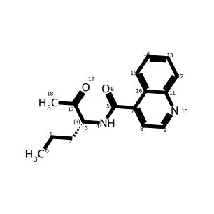 CCC[C@@H](NC(=O)c1ccnc2ccccc12)C(C)=O